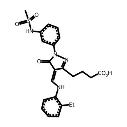 CCc1ccccc1NC=C1C(=O)N(c2cccc(NS(C)(=O)=O)c2)N=C1CCCC(=O)O